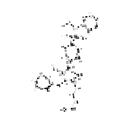 CCN(c1ccccc1)S(=O)(=O)c1ccc(-n2[nH]c(CCOC(C)=O)c(Cc3ccccc3)c2=O)nc1